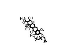 COc1c(CN(CC2CC2)C(C)(C)CC(C)(C)C)cc(O)c2c1CC1C[C@H]3CC(O)=C(C(N)=O)C(=O)[C@@]3(O)C(O)=C1C2=O